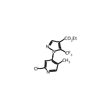 CCOC(=O)c1cnn(-c2cc(Cl)ncc2C)c1C(F)(F)F